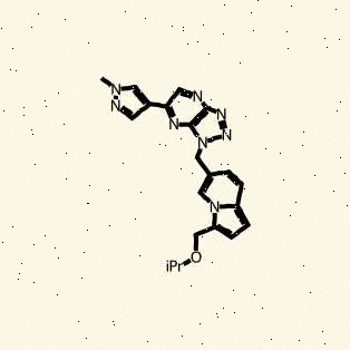 CC(C)OCc1ccc2ccc(Cn3nnc4ncc(-c5cnn(C)c5)nc43)cn12